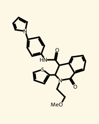 COCCN1C(=O)c2ccccc2C(C(=O)Nc2ccc(-n3cccc3)cc2)C1c1cccs1